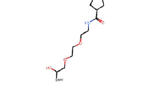 CNC(O)COCCOCCNC(=O)C1CCCC1